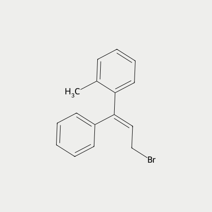 Cc1ccccc1C(=CCBr)c1ccccc1